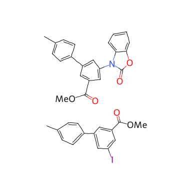 COC(=O)c1cc(-c2ccc(C)cc2)cc(-n2c(=O)oc3ccccc32)c1.COC(=O)c1cc(I)cc(-c2ccc(C)cc2)c1